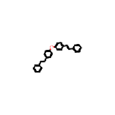 C(=Cc1ccc(Oc2ccc(C=Cc3ccccc3)cc2)cc1)c1ccccc1